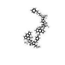 CC(C)(O)c1cc(S(N)(=O)=NC(=O)Nc2c3c(cc4c2CCC4)CCC3)nn1Cc1ccc(OCc2c3c(c(NC(=O)N=S(N)(=O)c4cnc([C@](C)(O)COCCOCc5ccccc5)s4)c4c2CCC4)CCC3)cc1